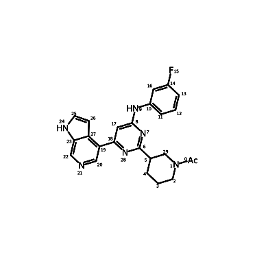 CC(=O)N1CCCC(c2nc(Nc3cccc(F)c3)cc(-c3cncc4[nH]ccc34)n2)C1